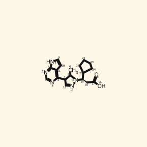 CC1C(c2ncnc3[nH]ccc23)C=NN1[C@H](CC(=O)O)C1CCCC1